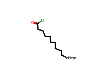 CCCCCCCCCCCCCCCCC(=O)Cl